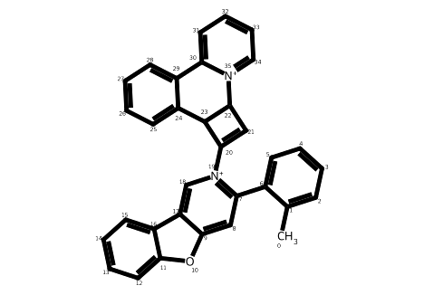 Cc1ccccc1-c1cc2oc3ccccc3c2c[n+]1C1=CC2C1c1ccccc1-c1cccc[n+]12